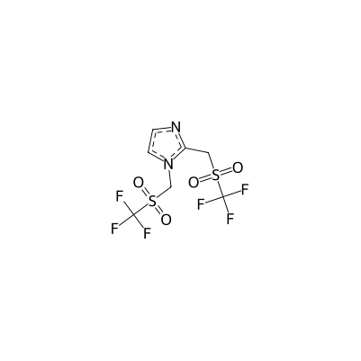 O=S(=O)(Cc1nccn1CS(=O)(=O)C(F)(F)F)C(F)(F)F